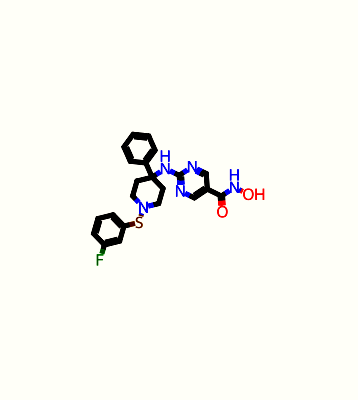 O=C(NO)c1cnc(NC2(c3ccccc3)CCN(Sc3cccc(F)c3)CC2)nc1